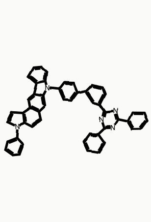 c1ccc(-c2nc(-c3ccccc3)nc(-c3cccc(-c4ccc(-n5c6ccccc6c6cc7c(ccc8c7ccn8-c7ccccc7)cc65)cc4)c3)n2)cc1